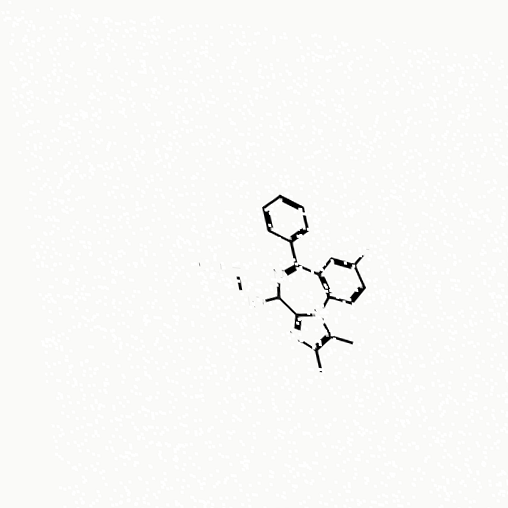 CC(=O)O.Cc1nc2n(c1C)-c1ccc(F)cc1C(c1ccccc1)=NC2O